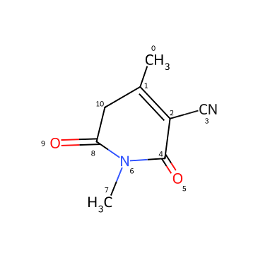 CC1=C(C#N)C(=O)N(C)C(=O)C1